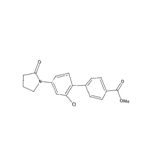 COC(=O)c1ccc(-c2ccc(N3CCCC3=O)cc2Cl)cc1